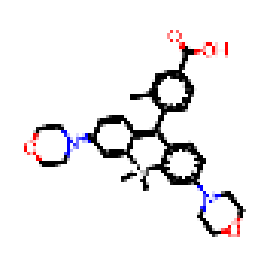 Cc1cc(C(=O)O)ccc1C1=C2C=CC(=[N+]3CCOCC3)C=C2[Si](C)(C)c2cc(N3CCOCC3)ccc21